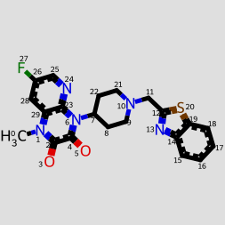 Cn1c(=O)c(=O)n(C2CCN(Cc3nc4ccccc4s3)CC2)c2ncc(F)cc21